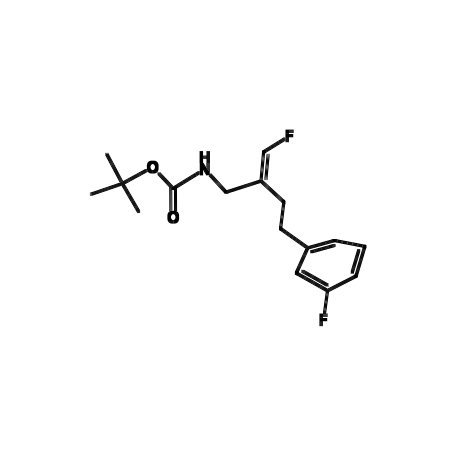 CC(C)(C)OC(=O)NC/C(=C/F)CCc1cccc(F)c1